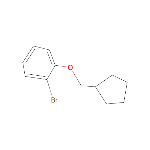 Brc1ccccc1OCC1CCCC1